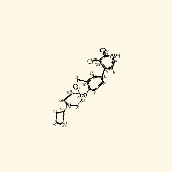 O=c1[nH]ccc(-c2ccc3c(c2)COC2(CCN(C4CCC4)CC2)O3)c1Cl